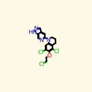 ClCCOc1c(Cl)cc2c(c1Cl)CCCN2c1cc2cn[nH]c2cn1